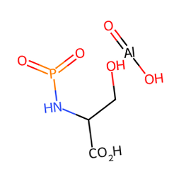 O=C(O)C(CO)NP(=O)=O.[O]=[Al][OH]